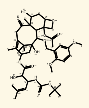 COc1ccc(OC)c(COC2C3C4(OC(C)=O)COC4CC(O)C3(C)C(=O)CC3=C(C)C(OC(=O)C(O)C(C=C(C)C)NC(=O)OC(C)(C)C)CC2(O)C3(C)C)c1